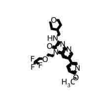 COc1ccc(-c2cnc3nc(NCC4CCOCC4)c(=O)n(CCOCC(F)(F)F)c3c2)cn1